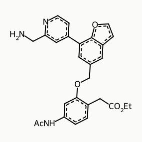 CCOC(=O)Cc1ccc(NC(C)=O)cc1OCc1cc(-c2ccnc(CN)c2)c2occc2c1